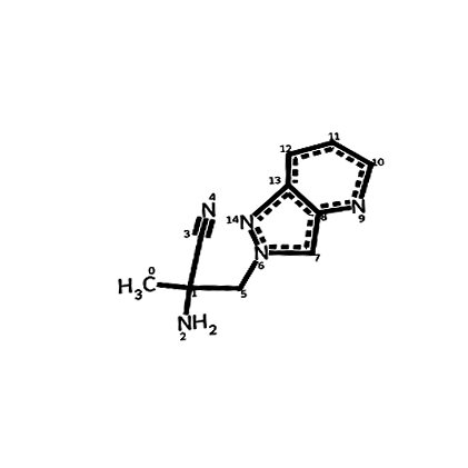 CC(N)(C#N)Cn1cc2ncccc2n1